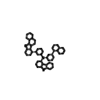 c1cc(-c2cccc3ccccc23)cc(N(c2cccc(-c3cccc4oc5c6ccccc6ccc5c34)c2)c2cccc3sc4ccccc4c23)c1